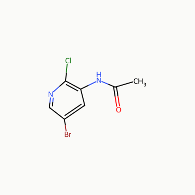 CC(=O)Nc1cc(Br)cnc1Cl